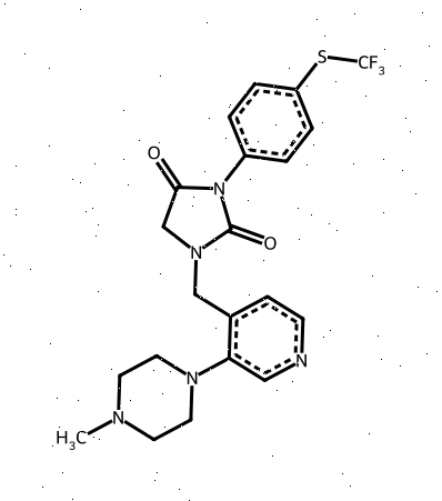 CN1CCN(c2cnccc2CN2CC(=O)N(c3ccc(SC(F)(F)F)cc3)C2=O)CC1